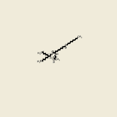 CCCCCCCCCCOC(=O)CCCCCCCC(NCCC(C)(C)O)C(=O)OCCC(CCCCCC)CCCCCC